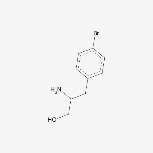 NC(CO)Cc1ccc(Br)cc1